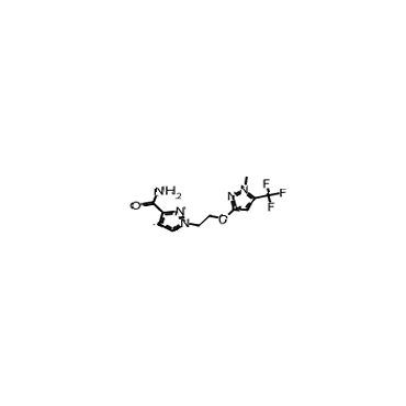 Cn1nc(OCCn2c[c]c(C(N)=O)n2)cc1C(F)(F)F